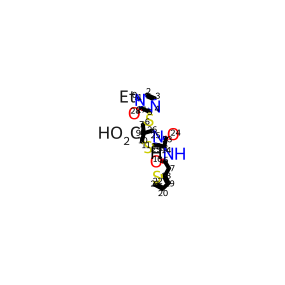 CCn1ccnc(SCC2(C(=O)O)CS[C@@H]3[C@H](NC(=O)Cc4cccs4)C(=O)N3C2)c1=O